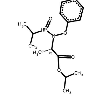 CC(C)OC(=O)[C@H](C)N(Oc1ccccc1)[PH](=O)C(C)C